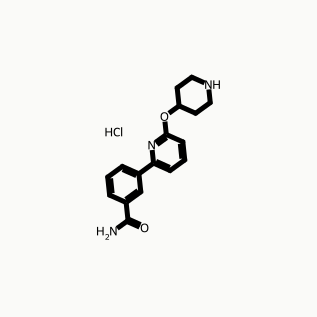 Cl.NC(=O)c1cccc(-c2cccc(OC3CCNCC3)n2)c1